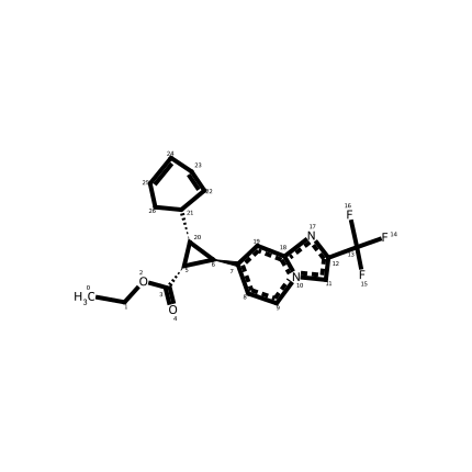 CCOC(=O)[C@H]1[C@H](c2ccn3cc(C(F)(F)F)nc3c2)[C@H]1C1C=CC=CC1